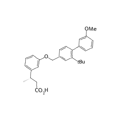 COc1cccc(-c2ccc(COc3cccc([C@@H](C)CC(=O)O)c3)cc2C(C)(C)C)c1